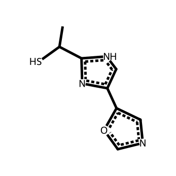 CC(S)c1nc(-c2cnco2)c[nH]1